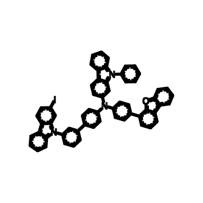 Ic1ccc2c3ccccc3n(-c3cccc(-c4ccc(N(c5ccc(-c6cccc7c6oc6ccccc67)cc5)c5ccc6c7ccccc7n(-c7ccccc7)c6c5)cc4)c3)c2c1